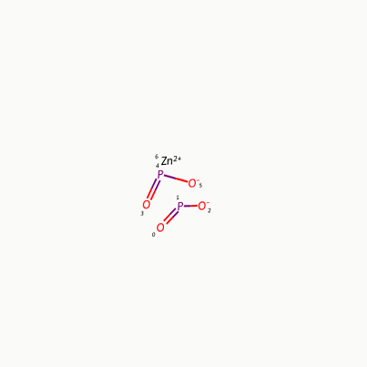 O=P[O-].O=P[O-].[Zn+2]